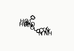 CCN(C(=N)C(C#N)C(C)Cc1cccc(CCOC(=O)N[C@@H](CCc2ccccc2)B(O)O)c1)C(C)C